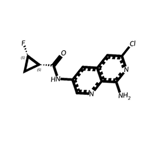 Nc1nc(Cl)cc2cc(NC(=O)[C@@H]3C[C@@H]3F)cnc12